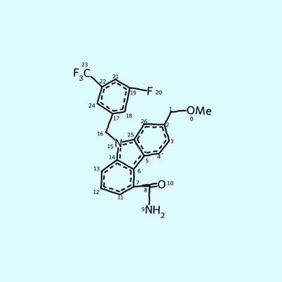 COCc1c[c]c2c3c(C(N)=O)cccc3n(Cc3cc(F)cc(C(F)(F)F)c3)c2c1